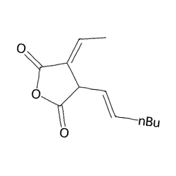 CC=C1C(=O)OC(=O)C1C=CCCCC